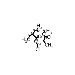 CCC(=O)OC.CCC(CC)C(=O)OCCl